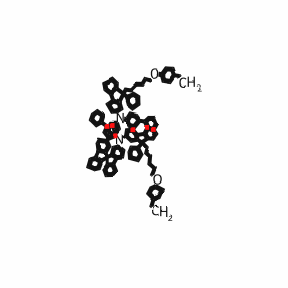 C=Cc1ccc(OCCCCCCC2(c3ccccc3)c3ccccc3-c3ccc(N(C4=CC=C(c5ccccc5)CC4)c4ccc5c(c4)C4(c6ccccc6-c6ccc(-c7ccc(N(c8ccc(-c9ccccc9)cc8)c8ccc9c(c8)C(CCCCCCOc8ccc(C=C)cc8)(c8ccccc8)c8ccccc8-9)cc7)cc64)c4ccccc4-5)cc32)cc1